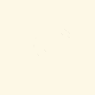 Fc1cc2nc(-c3ccccc3CCc3ccc(-c4nnn[nH]4)cc3)n(CC3CCCCC3)c2cc1F